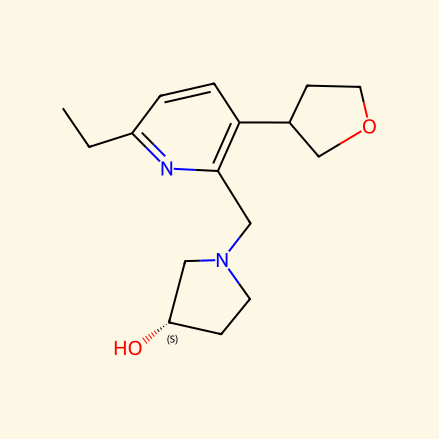 CCc1ccc(C2CCOC2)c(CN2CC[C@H](O)C2)n1